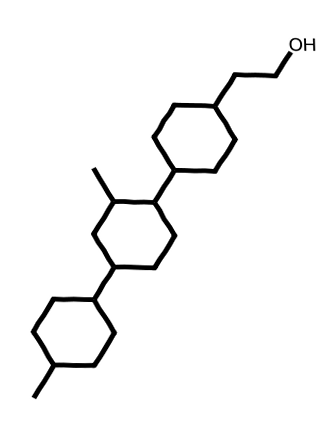 CC1CCC(C2CCC(C3CCC(CCO)CC3)C(C)C2)CC1